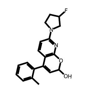 Cc1ccccc1C1=CC(O)Oc2nc(N3CCC(F)C3)ccc21